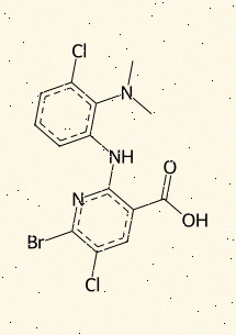 CN(C)c1c(Cl)cccc1Nc1nc(Br)c(Cl)cc1C(=O)O